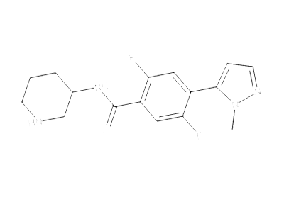 Cn1nccc1-c1cc(F)c(C(=O)NC2CCCNC2)cc1F